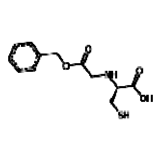 O=C(CN[C@H](CS)C(=O)O)OCc1ccccc1